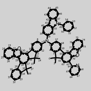 CC1(C)c2cc(N(c3ccc4c(c3)C(C)(C)c3c5c(c6c(oc7ccccc76)c3-4)-c3ccccc3C5(C)C)c3ccc4c5ccccc5n(-c5ccccc5)c4c3)ccc2-c2c1cc(-c1ccccn1)c1oc3ccccc3c21